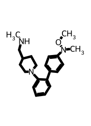 CNCC1CCN(c2ccccc2-c2ccc(N(C)OC)cc2)CC1